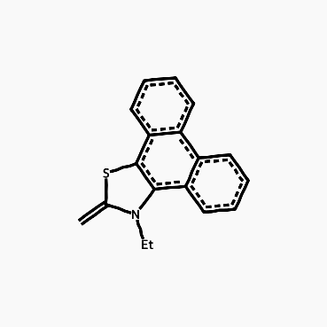 C=C1Sc2c(c3ccccc3c3ccccc23)N1CC